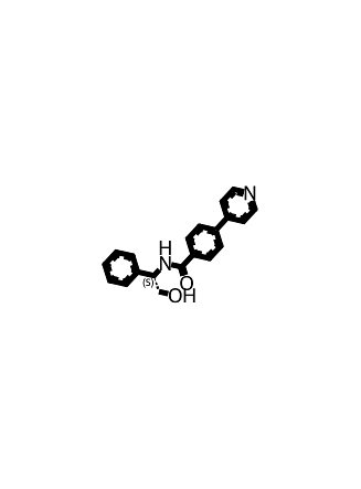 O=C(N[C@H](CO)c1ccccc1)c1ccc(-c2ccncc2)cc1